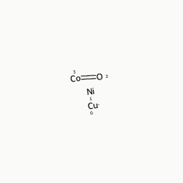 [Cu].[Ni].[O]=[Co]